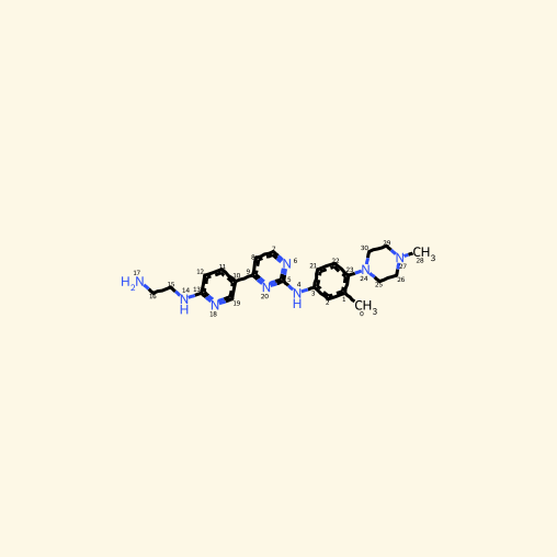 Cc1cc(Nc2nccc(-c3ccc(NCCN)nc3)n2)ccc1N1CCN(C)CC1